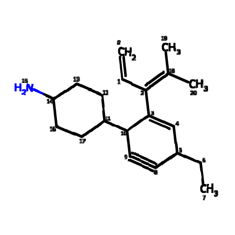 C=CC(C1=CC(CC)C#CC1C1CCC(N)CC1)=C(C)C